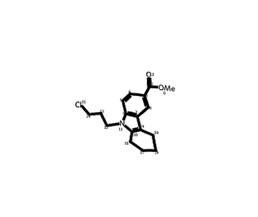 COC(=O)c1ccc2c(c1)c1c(n2CCCCl)CCCC1